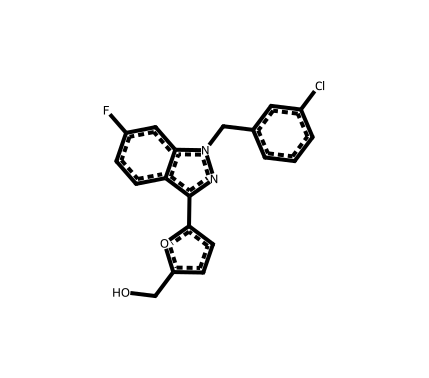 OCc1ccc(-c2nn(Cc3cccc(Cl)c3)c3cc(F)ccc23)o1